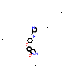 CN(Cc1cccnc1)[C@H]1CC[C@H](Oc2ccc3c(=O)[nH]ccc3c2)CC1